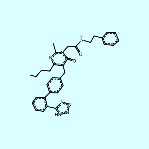 CCCCc1nc(C)n(CC(=O)NCCc2ccccc2)c(=O)c1Cc1ccc(-c2ccccc2-c2nnn[nH]2)cc1